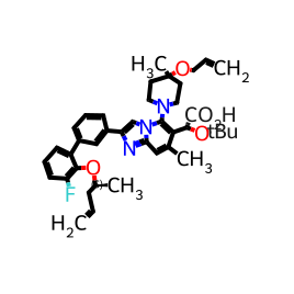 C=CCOC1(C)CCN(c2c(C(OC(C)(C)C)C(=O)O)c(C)cc3nc(-c4cccc(-c5cccc(F)c5O[C@@H](C)CC=C)c4)cn23)CC1